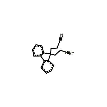 [C-]#[N+]CCC1(CCC#N)c2ccccc2-c2ccccc21